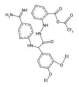 CCOc1ccc(C(Nc2ccc(C(=N)N)cc2)C(=O)NNc2ccccc2C(=O)OC(=O)C(F)(F)F)cc1OCC